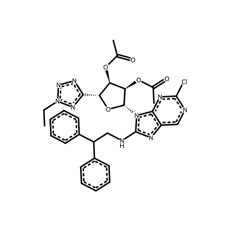 CCn1nnc([C@H]2O[C@@H](n3c(NCC(c4ccccc4)c4ccccc4)nc4cnc(Cl)nc43)[C@H](OC(C)=O)[C@@H]2OC(C)=O)n1